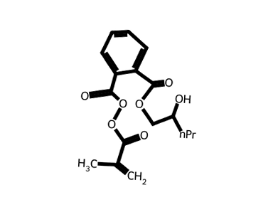 C=C(C)C(=O)OOC(=O)c1ccccc1C(=O)OCC(O)CCC